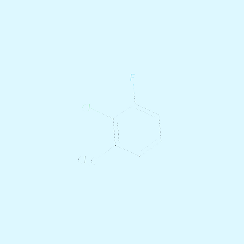 Fc1cccc(C(Cl)(Cl)Cl)c1Cl